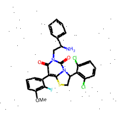 COc1cccc(-c2c3n(c(=O)n(CC(N)c4ccccc4)c2=O)C(c2c(Cl)cccc2Cl)CS3)c1F